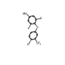 CC(C)(C)c1cc(F)c(Oc2ccc(Cl)c(C(F)(F)F)c2)c(F)c1